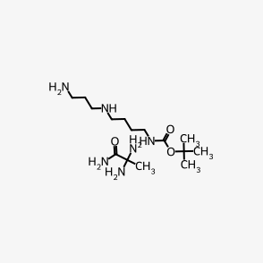 CC(C)(C)OC(=O)NCCCCNCCCN.CC(N)(N)C(N)=O